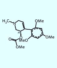 COC(=O)O[C@H]1CN(C)CC=C1c1c(OC)cc(OC)cc1OC